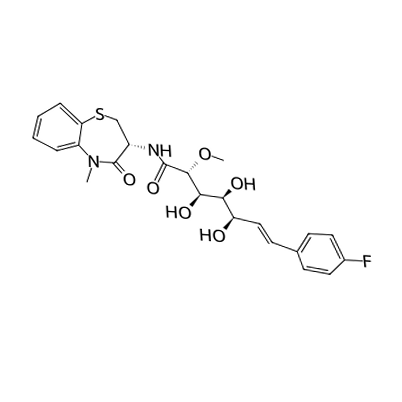 CO[C@@H](C(=O)N[C@H]1CSc2ccccc2N(C)C1=O)[C@H](O)[C@@H](O)[C@H](O)C=Cc1ccc(F)cc1